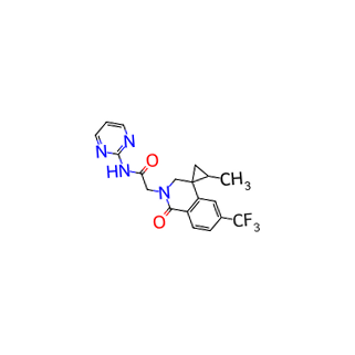 CC1CC12CN(CC(=O)Nc1ncccn1)C(=O)c1ccc(C(F)(F)F)cc12